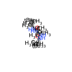 Cc1cc(C)c(NC(=O)NCCC(C)CC(C)(C)CC(C)(C)C)c(C)c1NC(=O)NCCC(C)CC(C)(C)CC(C)(C)C